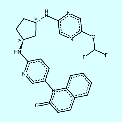 O=c1ccc2ccccc2n1-c1ccc(N[C@H]2CC[C@H](Nc3cnc(OC(F)F)cn3)C2)nc1